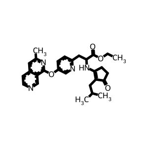 CCOC(=O)C(Cc1ccc(Oc2nc(C)cc3ccncc23)cn1)NC1=C(CC(C)C)C(=O)CC1